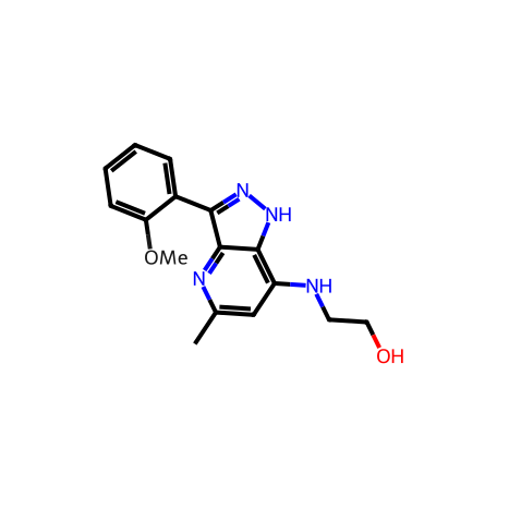 COc1ccccc1-c1n[nH]c2c(NCCO)cc(C)nc12